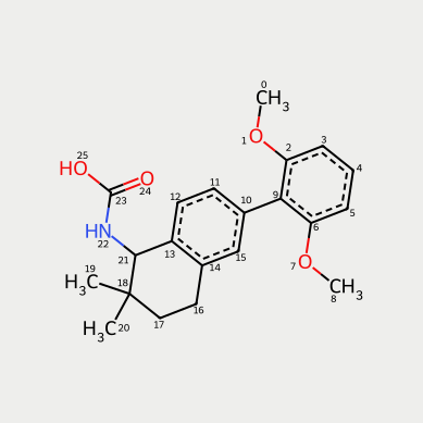 COc1cccc(OC)c1-c1ccc2c(c1)CCC(C)(C)C2NC(=O)O